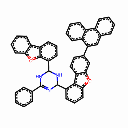 c1ccc(C2=NC(c3cccc4oc5cc(-c6cc7ccccc7c7ccccc67)ccc5c34)NC(c3cccc4c3oc3ccccc34)N2)cc1